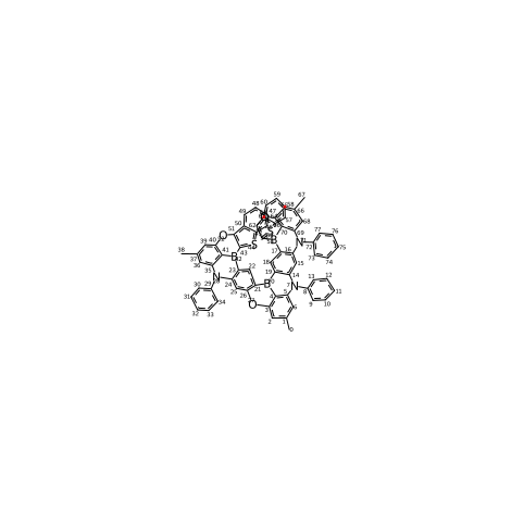 Cc1cc2c3c(c1)N(c1ccccc1)c1cc4c(cc1B3c1cc3c(cc1O2)N(c1ccccc1)c1cc(C)cc2c1B3c1sc3ccccc3c1O2)B1c2sc3ccccc3c2Oc2cc(C)cc(c21)N4c1ccccc1